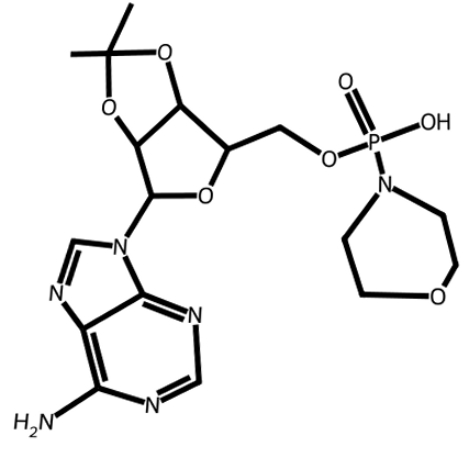 CC1(C)OC2C(COP(=O)(O)N3CCOCC3)OC(n3cnc4c(N)ncnc43)C2O1